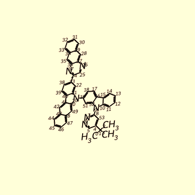 CC(C)(C)c1cnnc(-n2c3ccccc3c3ccc(-n4c5cc(-c6cnc7cc8ccccc8cc7n6)ccc5c5cc6ccccc6cc54)cc32)c1